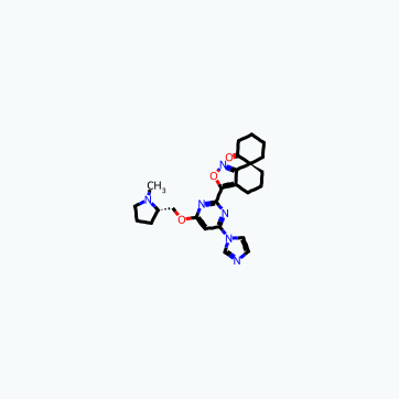 CN1CCC[C@H]1COc1cc(-n2ccnc2)nc(-c2onc3c2CCC[C@@]32CCCCC2=O)n1